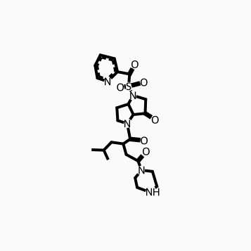 CC(C)CC(CC(=O)N1CCNCC1)C(=O)N1CCC2C1C(=O)CN2S(=O)(=O)C(=O)c1ccccn1